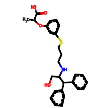 C[C@H](Oc1cccc(SCCCNC(CO)C(c2ccccc2)c2ccccc2)c1)C(=O)O